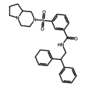 O=C(NCC(C1=CCCC=C1)c1ccccc1)c1cccc(S(=O)(=O)N2CCN3CCCC3C2)c1